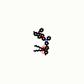 CCCCCCCC(=O)C1(C(=O)CCCCCCC)c2cc(C)ccc2-c2ccc(-c3ccc(N(c4ccccc4)c4ccc(-c5ccc6c(c5)C(Cc5ccccc5)(Cc5ccccc5)c5cc(C)ccc5-6)cc4)cc3)cc21